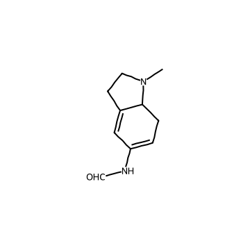 CN1CCC2=CC(NC=O)=CCC21